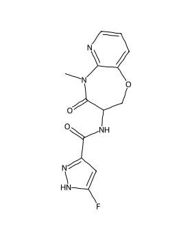 CN1C(=O)C(NC(=O)c2cc(F)[nH]n2)COc2cccnc21